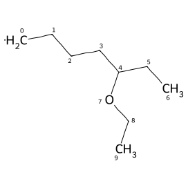 [CH2]CCCC(CC)OCC